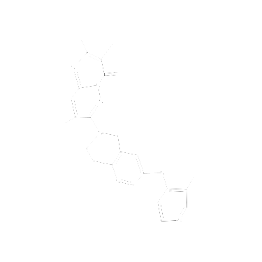 Cc1cc2nc(C)c(C)c(=O)n2nc1N1CCc2ncc(Nc3ccncc3F)cc2C1